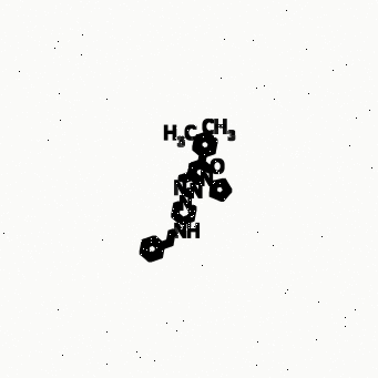 Cc1ccc(-c2cc3cnc(N4CCC(NCCc5ccccc5)CC4)nc3n(C3CCCC3)c2=O)cc1C